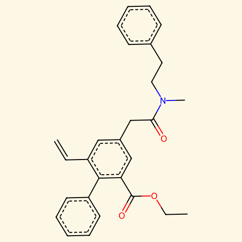 C=Cc1cc(CC(=O)N(C)CCc2ccccc2)cc(C(=O)OCC)c1-c1ccccc1